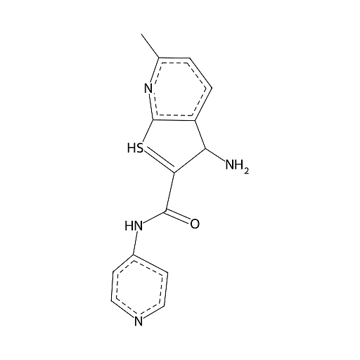 Cc1ccc2c(n1)[SH]=C(C(=O)Nc1ccncc1)C2N